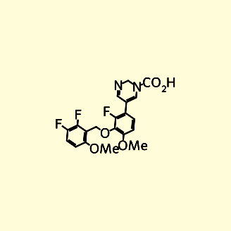 COc1ccc(F)c(F)c1COc1c(OC)ccc(C2=CN(C(=O)O)CN=C2)c1F